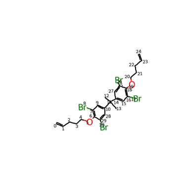 C=CCCCOc1c(Br)cc(C(C)(C)c2cc(Br)c(OCCCC=C)c(Br)c2)cc1Br